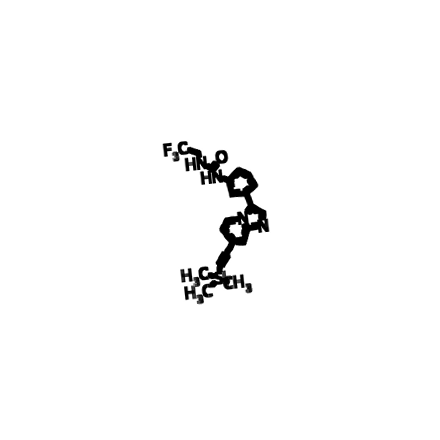 C[Si](C)(C)C#Cc1ccn2c(-c3cccc(NC(=O)NCC(F)(F)F)c3)cnc2c1